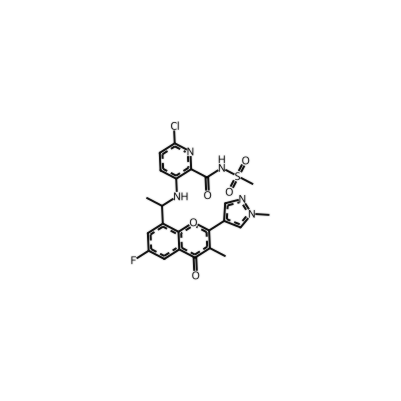 Cc1c(-c2cnn(C)c2)oc2c(C(C)Nc3ccc(Cl)nc3C(=O)NS(C)(=O)=O)cc(F)cc2c1=O